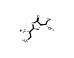 CC[C@H](C)[C@@H]1C[C@@H]([C@@H](C)O)C(=O)O1